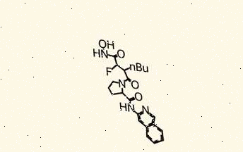 CCCCC(C(=O)N1CCCC1C(=O)Nc1cc2ccccc2cn1)C(F)C(=O)NO